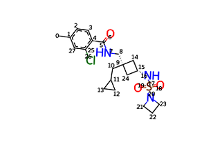 Cc1ccc(C(=O)NC[C@]2(CC3CC3)C[C@H](NS(=O)(=O)N3CCC3)C2)c(Cl)c1